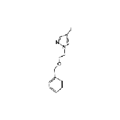 Ic1cnn(CCOCc2ccccc2)c1